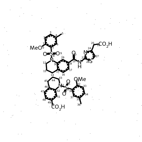 COc1ccc(C)cc1S(=O)(=O)N1CCCc2ccc(C(=O)Nc3nc(CC(=O)O)cs3)cc21.COc1ccc(C)cc1S(=O)(=O)N1CCCc2ccc(C(=O)O)cc21